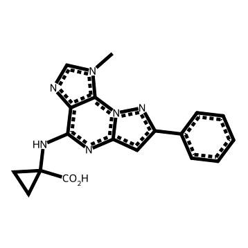 Cn1cnc2c(NC3(C(=O)O)CC3)nc3cc(-c4ccccc4)nn3c21